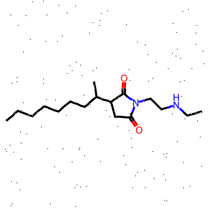 CCCCCCCC(C)C1CC(=O)N(CCNCC)C1=O